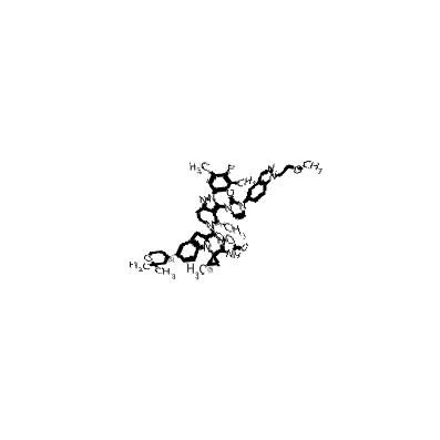 COCCn1ncc2cc(-n3ccn(-c4c5c(nn4-c4cc(C)c(F)c(C)c4)CCN(C(=O)c4cc6cc([C@H]7CCOC(C)(C)C7)ccc6n4[C@@]4(c6noc(=O)[nH]6)C[C@@H]4C)[C@H]5C)c3=O)ccc21